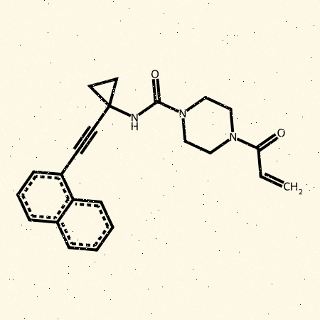 C=CC(=O)N1CCN(C(=O)NC2(C#Cc3cccc4ccccc34)CC2)CC1